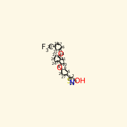 Oc1cc(-c2ccc(O[C@@H]3CCc4c(Oc5cccc(C(F)(F)F)c5)cccc43)cc2)sn1